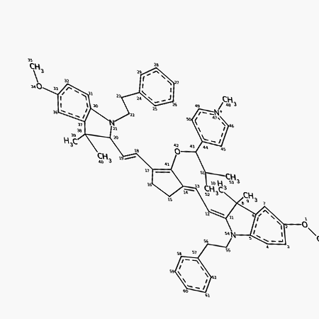 COc1ccc2c(c1)C(C)(C)/C(=C\C=C1/CCC(/C=C/C3N(CCc4ccccc4)c4ccc(OC)cc4C3(C)C)=C1OC(c1cc[n+](C)cc1)C(C)C)N2CCc1ccccc1